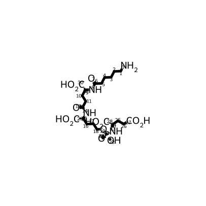 NCCCCCC(=O)N[C@@H](CCC(=O)N[C@@H](CCCOP(=O)(O)N[C@@H](CCC(=O)O)C(=O)O)C(=O)O)C(=O)O